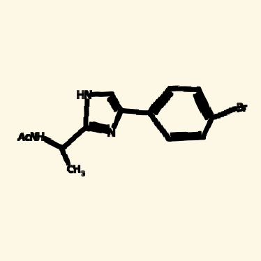 CC(=O)NC(C)c1nc(-c2ccc(Br)cc2)c[nH]1